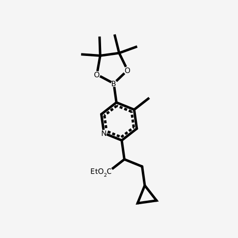 CCOC(=O)C(CC1CC1)c1cc(C)c(B2OC(C)(C)C(C)(C)O2)cn1